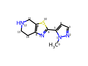 Cn1nccc1-c1nc2c(s1)CNCC2